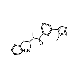 Cn1nccc1-c1cccc(C(=O)NC(CN)Cc2ccccc2)c1